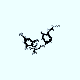 CCCN(CCSc1ccc(OCC(=O)O)c(C)c1)S(=O)(=O)c1c(C(C)C)cc(C(C)C)cc1C(C)C